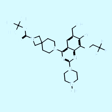 CCc1cc2c(N3CCC4(CC3)CN(C(=O)OC(C)(C)C)C4)nc(N3CCN(C)CC3)nc2c(OCC(F)(F)F)c1Br